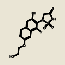 O=C1CN(c2c(O)cc3ccc(OCCO)cc3c2F)S(=O)(=O)N1